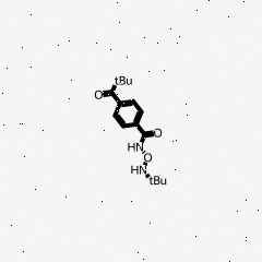 CC(C)(C)NONC(=O)c1ccc(C(=O)C(C)(C)C)cc1